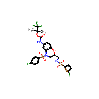 CC(C)(OC(=O)Nc1ccc2c(c1)N(S(=O)(=O)c1ccc(F)cc1)C[C@H](CNS(=O)(=O)c1ccc(Cl)s1)O2)C(F)(F)F